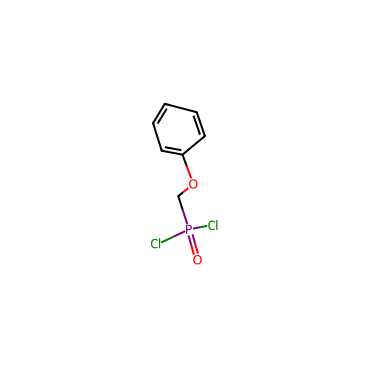 O=P(Cl)(Cl)COc1ccccc1